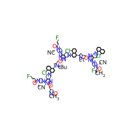 C=C(F)C(=O)N1CCN(c2nc(OCC3CC(c4ccc(N5CCc6c(nc(OCC7CC(c8ccc(N9CCc%10c(nc(OCC%11CC(=O)N(C)C%11)nc%10N%10CCN(C(=O)/C=C/CF)[C@@H](CC#N)C%10)C9)c9c(Cl)cccc89)N7C(C)(C)C)nc6N6CCN(C(=O)/C=C/CF)[C@@H](CC#N)C6)C5)c5c(Cl)cccc45)N3CC)nc3c2CCN(c2cccc4cccc(Cl)c24)C3)C[C@@H]1CC#N